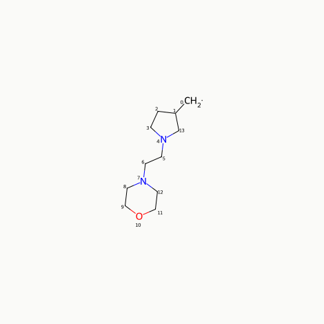 [CH2]C1CCN(CCN2CCOCC2)C1